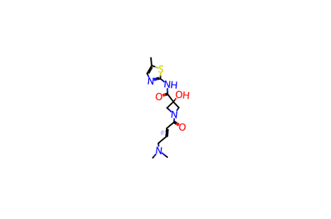 Cc1cnc(NC(=O)C2(O)CN(C(=O)/C=C/CN(C)C)C2)s1